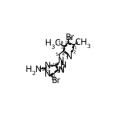 Cc1cnc(Cn2nnc3c(Br)nc(N)nc32)c(C)c1Br